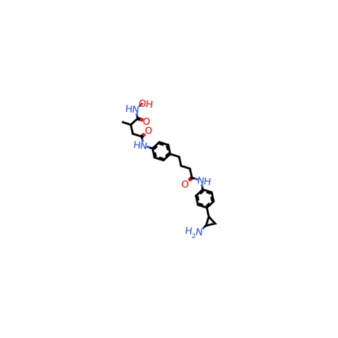 CC(CC(=O)Nc1ccc(CCCC(=O)Nc2ccc(C3CC3N)cc2)cc1)C(=O)NO